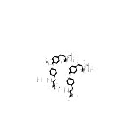 N[C@@H](Cc1ccc(Oc2ccc(C=C3SC(=O)NC3=O)cc2)cc1)C(=O)[O-].N[C@@H](Cc1ccc(Oc2ccc(C=C3SC(=O)NC3=O)cc2)cc1)C(=O)[O-].[K+].[K+]